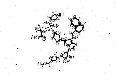 CCc1cc([C@H]2O[C@@H](n3cnc4c(NCc5cccc6ccccc56)nc(N5CC[C@@H](NC(=O)N[C@@H]6CCNC6)C5)nc43)[C@H](O)[C@@H]2O)on1.O=C(O)C(F)(F)F